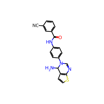 N#Cc1cccc(C(=O)Nc2ccc(N3C=Nc4sccc4C3N)cc2)c1